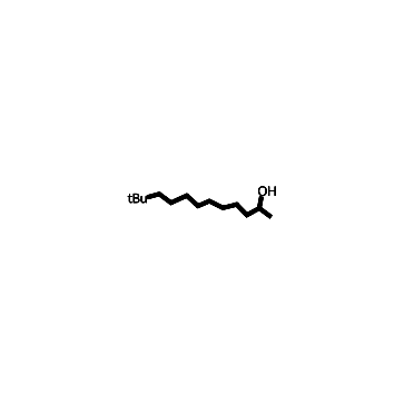 CC(O)CCCCCCCCC(C)(C)C